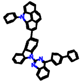 c1ccc(-c2ccc(-c3nc(-n4c5ccccc5c5cc(-c6cc7ccc8cccc9c8c7c(c6)n9-c6ccccc6)ccc54)nc4ccccc34)cc2)cc1